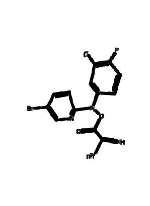 CCCC(=N)C(=O)ON(c1ccc(F)c(Cl)c1)c1ccc(Br)cn1